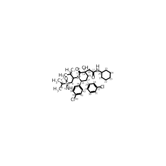 CC(C)C(CS(=N)(=O)C(C)C)N1C(=O)[C@@](C)(CC(=O)NC2CCCCC2)C[C@H](c2cccc(Cl)c2)[C@H]1c1ccc(Cl)cc1